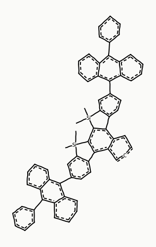 C[Si]1(C)c2cc(-c3c4ccccc4c(-c4ccccc4)c4ccccc34)ccc2-c2c1c1c(c3ccccc23)-c2ccc(-c3c4ccccc4c(-c4ccccc4)c4ccccc34)cc2[Si]1(C)C